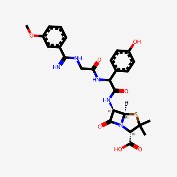 COc1cccc(C(=N)NCC(=O)NC(C(=O)N[C@@H]2C(=O)N3[C@@H]2SC(C)(C)[C@@H]3C(=O)O)c2ccc(O)cc2)c1